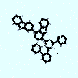 c1ccc(-c2nc(-c3ccccc3-c3cccnc3)nc(-c3ccc(-c4ccc5c(c4)sc4ccccc45)c4c3oc3ccccc34)n2)cc1